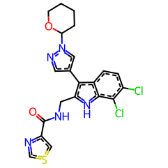 O=C(NCc1[nH]c2c(Cl)c(Cl)ccc2c1-c1cnn(C2CCCCO2)c1)c1cscn1